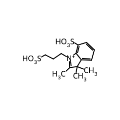 CC1=[N+](CCCS(=O)(=O)O)c2c(cccc2S(=O)(=O)O)C1(C)C